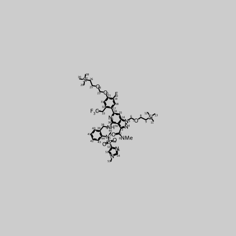 CNC(=O)c1nn(COCC[Si](C)(C)C)c2cc(-c3cc(F)c(OCOCC[Si](C)(C)C)cc3CC(F)(F)F)nc(NCc3ccccc3N(C)S(=O)(=O)c3cn(C)cn3)c12